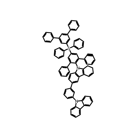 c1cccc(-c2cc(S(c3ccccc3)(c3ccccc3)c3cc(-c4ccccc4)cc(-c4ccccc4)c3)cc(-c3ccccc3)c2-n2c3c(c4cc(-c5cccc(-n6c7ccccc7c7ccccc76)c5)ccc42)C=CCC3)c#1